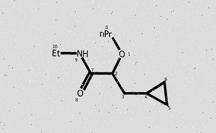 CCCOC(CC1CC1)C(=O)NCC